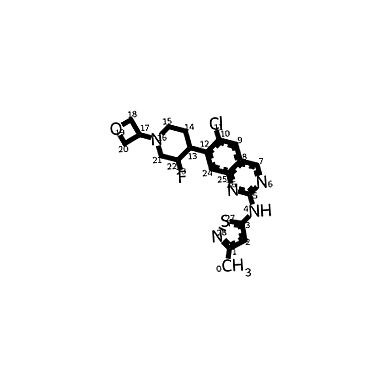 Cc1cc(Nc2ncc3cc(Cl)c(C4CCN(C5COC5)CC4F)cc3n2)sn1